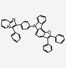 c1ccc(-c2oc3c(ccc4c3c3ccccc3n4-c3ccc(-c4nc5ccccn5c4-c4ccccc4)cc3)c2-c2ccccc2)cc1